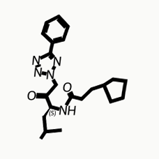 CC(C)C[C@H](NC(=O)CCC1CCCC1)C(=O)Cn1nnc(-c2ccccc2)n1